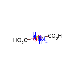 NC(CSSCC(N)C(=O)NCCCCCCCCCCCCC(=O)O)C(=O)NCCCCCCCCCCCCC(=O)O